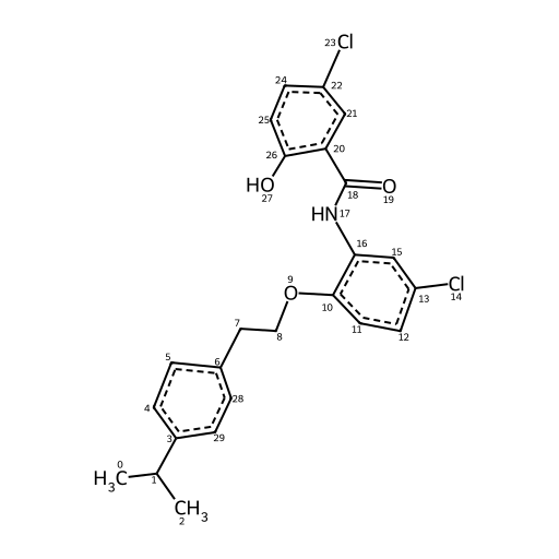 CC(C)c1ccc(CCOc2ccc(Cl)cc2NC(=O)c2cc(Cl)ccc2O)cc1